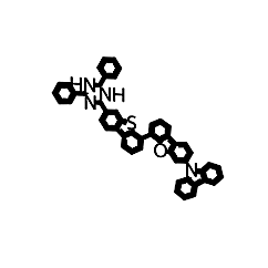 c1ccc(C2=NC(c3ccc4c(c3)sc3c(-c5cccc6c5oc5cc(-n7c8ccccc8c8ccccc87)ccc56)cccc34)NC(c3ccccc3)N2)cc1